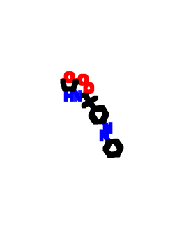 CC(C)(C(=O)NC1CCOC1=O)c1ccc(/N=N/c2ccccc2)cc1